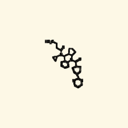 O=C(O)CCC(=O)N(C1CC1)C1c2ccccc2N(C(=O)c2ccc(-c3ncccn3)cc2)C2CCCC21